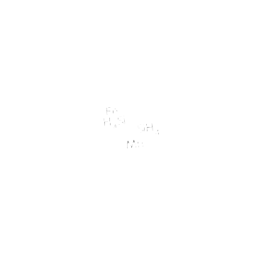 [Fe].[Mn].[SiH4].[SiH4]